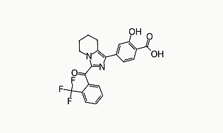 O=C(O)c1ccc(-c2nc(C(=O)c3ccccc3C(F)(F)F)n3c2CCCC3)cc1O